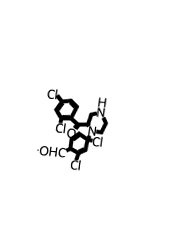 O=[C]C1C=CC(Cl)(N2CCNCC2C(=O)c2ccc(Cl)cc2Cl)C=C1Cl